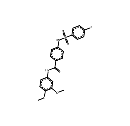 COc1ccc(NC(=O)c2ccc(NS(=O)(=O)c3ccc(F)cc3)cc2)cc1OC